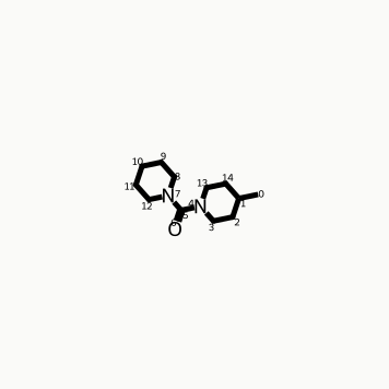 CC1CCN(C(=O)N2CCCCC2)CC1